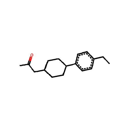 CCc1ccc(C2CCC(CC(C)=O)CC2)cc1